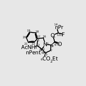 CCCCC[C@]1(C(C)NC(C)=O)[C@H](C(=O)OCC)C[C@H](C(=O)OC(F)CCC)N1Cc1ccccc1